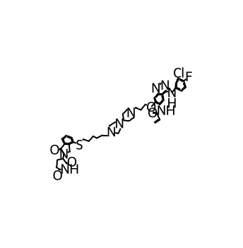 C=CC(=O)Nc1cc2c(Nc3ccc(F)c(Cl)c3)ncnc2cc1OCCCN1CCC(N2CCN(CCCCCCSc3cccc4c3CN(C3CCC(=O)NC3=O)C4=O)CC2)CC1